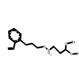 C=Cc1ccccc1CCCO[SiH2]CCC(OCC)OCC